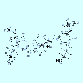 C=C1[C@H](CC(C)(C)[Si](C)(C)O)C/C(=C\C=C2/CCC[C@]3(C)[C@@H]([C@H](C)/C=C/[C@@H](CC(C)(C)[Si](C)(C)O)C4(C(=O)OCCCC)CC4)CC[C@@H]23)C[C@H]1O[Si](C)(C)C(C)(C)C